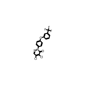 O=c1c(Cl)c(Cl)cnn1-c1ccc(Oc2cccc(C(F)(F)F)c2)cc1